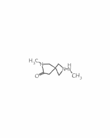 CNN1CC2(CC(=O)N(C)C2)C1